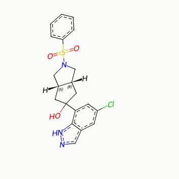 O=S(=O)(c1ccccc1)N1C[C@@H]2CC(O)(c3cc(Cl)cc4cn[nH]c34)C[C@@H]2C1